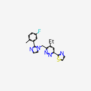 CCc1cc(-c2nccs2)nnc1Cn1ccnc1-c1cc(F)ccc1C